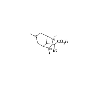 CCC(C(=O)O)C1C2CN(C)CC1[C@H](C)C[C@H]2C